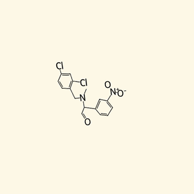 CN(Cc1ccc(Cl)cc1Cl)C(C=O)c1cccc([N+](=O)[O-])c1